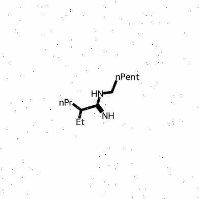 [CH2]CCC(CC)C(=N)NCCCCCC